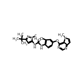 Cn1nc(C(C)(C)C)cc1NC(=O)Nc1ccc(Oc2ncnc3ccn(C)c23)cc1Cl